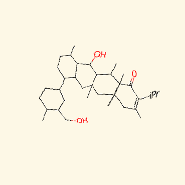 CC1=C(C(C)C)C(=O)C2(C)C(C)C3C(O)C4C(C)CCC(C5CCC(C)C(CO)C5)C4CC3(C)CC2(C)C1